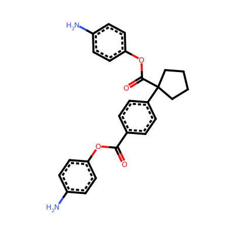 Nc1ccc(OC(=O)c2ccc(C3(C(=O)Oc4ccc(N)cc4)CCCC3)cc2)cc1